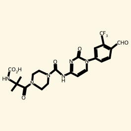 CC(C)(NC(=O)O)C(=O)N1CCN(C(=O)Nc2ccn(-c3ccc(C=O)c(C(F)(F)F)c3)c(=O)n2)CC1